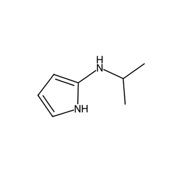 CC(C)Nc1ccc[nH]1